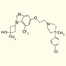 CC1(O)CC(n2cnc3cc(OCCN4CCC(C)(c5ccc(Cl)cc5)CC4)cc(C(F)(F)F)c32)C1